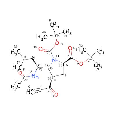 C#CC(=O)[C@@H]1C[C@H](C(=O)OC(C)(C)C)N(C(=O)OC(C)(C)C)[C@H]1[C@H](CC(C)C)NC(C)=O